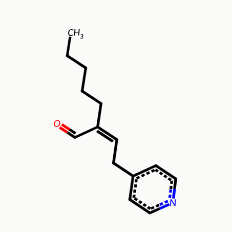 CCCCCC(C=O)=CCc1ccncc1